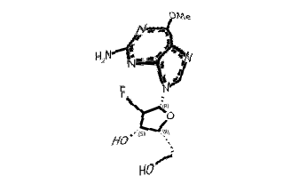 COc1nc(N)nc2c1ncn2[C@@H]1O[C@H](CO)[C@H](O)C1F